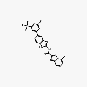 Cc1cccc2nc(C(=O)Nc3nc4cc(-c5cc(F)cc(C(F)(F)F)c5)ccc4[nH]3)cn12